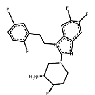 N[C@@H]1CN(c2nc3cc(F)c(F)cc3n2CCc2cc(F)ccc2F)CC[C@H]1F